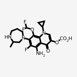 CC1CN(c2c(F)c(N)c3c(=O)c(OC(=O)O)cn(C4CC4)c3c2OC(F)F)CCCN1